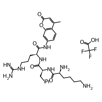 Cc1cc(=O)oc2cc(NC(=O)[C@H](CCCNC(=N)N)NC(=O)[C@H](CC(C)C)NC(=O)[C@@H](N)CCCCN)ccc12.O=C(O)C(F)(F)F